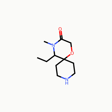 CCC1N(C)C(=O)COC12CCNCC2